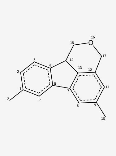 Cc1ccc2c(c1)-c1cc(C)cc3c1C2COC3